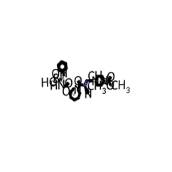 COC(=O)N1CCN(C(C)(C)/C=C(\C#N)C(=O)N2CCCC[C@@H](OC(=O)N[C@@H](Cc3ccccc3)B(O)O)C2)CC1